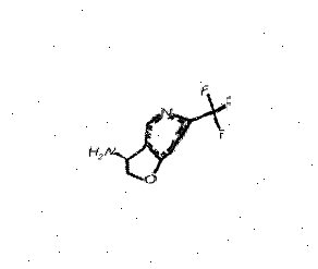 N[C@@H]1COc2cc(C(F)(F)F)ncc21